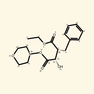 CCOC(=O)[C@H](Cc1ccccc1)[C@H](O)C(=O)ON1CCOCC1